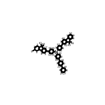 CC1C=CC2=C(C1)c1ccc(-c3ccc(N(c4ccc(-c5ccc(-c6ccccc6)cc5)cc4)c4ccc(-c5ccc6c(c5)C(C)(C)c5ccccc5-6)cc4)cc3)cc1C2(C)C